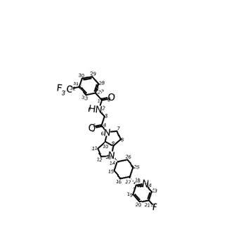 O=C(NCC(=O)N1CCC2C1CCN2[C@H]1CC[C@@H](c2ccc(F)cn2)CC1)c1cccc(C(F)(F)F)c1